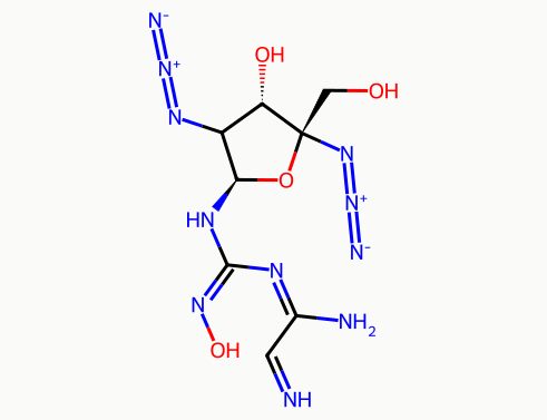 [N-]=[N+]=NC1[C@H](NC(=N/O)/N=C(/N)C=N)O[C@@](CO)(N=[N+]=[N-])[C@H]1O